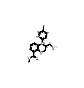 COC(=O)c1cccc2c1OCC(CO)N2c1ccc(C)cn1